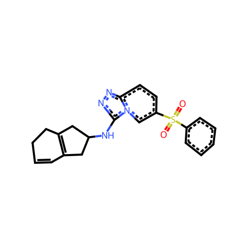 O=S(=O)(c1ccccc1)c1ccc2nnc(NC3CC4=C(CCC=C4)C3)n2c1